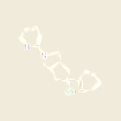 OC1(c2ccccc2)CC2CN(c3ccccn3)CC2C1